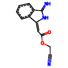 N#CCOC(=O)C=C1NC(=N)c2ccccc21